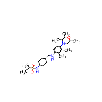 Cc1c(NC[C@H]2CC[C@H](NS(=O)(=O)C(C)C)CC2)ccc(N2C[C@H](C)O[C@H](C)C2C)c1C